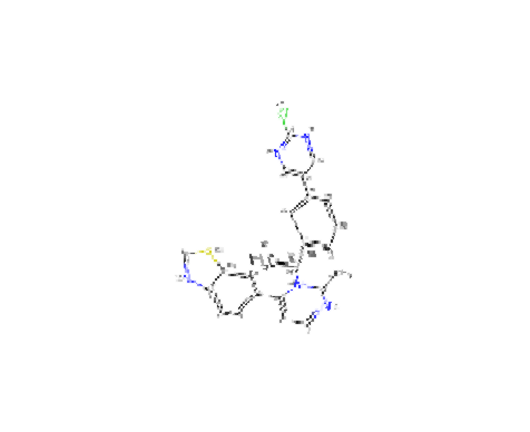 CC1N=CC=C(c2ccc3ncsc3c2)N1[C@@H](C)c1cccc(-c2cnc(Cl)nc2)c1